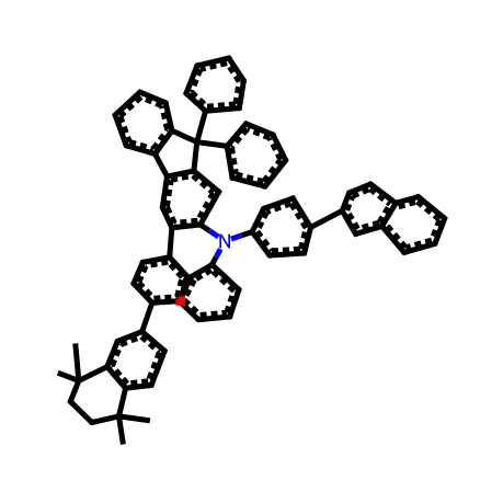 CC1(C)CCC(C)(C)c2cc(-c3ccc(-c4cc5c(cc4N(c4ccccc4)c4ccc(-c6ccc7ccccc7c6)cc4)C(c4ccccc4)(c4ccccc4)c4ccccc4-5)cc3)ccc21